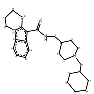 O=C(NCC1CCN(CC2CCCCC2)CC1)c1c2n(c3ccccc13)CCCO2